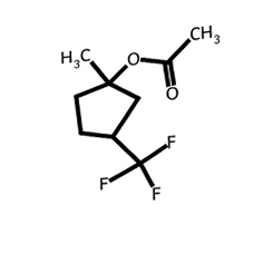 CC(=O)OC1(C)CCC(C(F)(F)F)C1